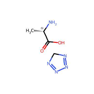 C1N=NN=N1.C[C@H](N)C(=O)O